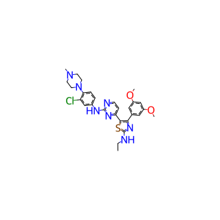 CCNc1nc(-c2cc(OC)cc(OC)c2)c(-c2ccnc(Nc3ccc(N4CCN(C)CC4)c(Cl)c3)n2)s1